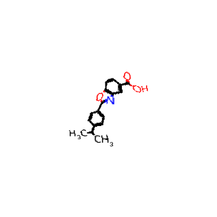 CC(C)c1ccc(-c2nc3cc(C(=O)O)ccc3o2)cc1